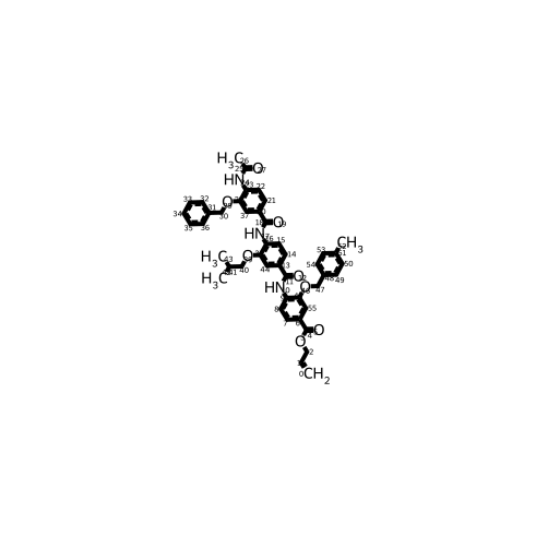 C=CCOC(=O)c1ccc(NC(=O)c2ccc(NC(=O)c3ccc(NC(C)=O)c(OCc4ccccc4)c3)c(OCC(C)C)c2)c(OCc2ccc(C)cc2)c1